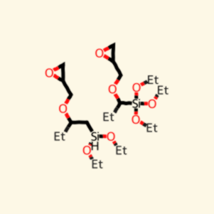 CCO[SiH](CC(CC)OCC1CO1)OCC.CCO[Si](OCC)(OCC)C(CC)OCC1CO1